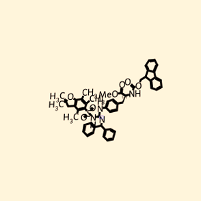 COC(=O)[C@H](Cc1ccc(N/C(=N/C(c2ccccc2)c2ccccc2)NS(=O)(=O)c2c(C)c(C)c3c(c2C)CC(C)(C)O3)cc1)NC(=O)OCC1c2ccccc2-c2ccccc21